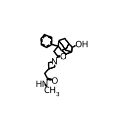 CNC(=O)CC1CN(C(=O)CC2(c3ccccc3)C3CC4CC2CC(C3)C4O)C1